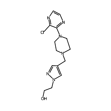 OCCn1cc(CN2CCN(c3nccnc3Cl)CC2)cn1